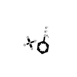 Cc1ccccc1.O=S(=O)([O-])[O-].[K+].[K+]